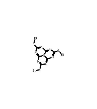 CCSC1=NC2=NC(SCC)=NC3=NC(SCC)=NC(=N1)N23